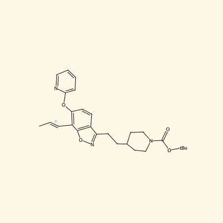 C/C=C/c1c(Oc2ccccn2)ccc2c(CCC3CCN(C(=O)OC(C)(C)C)CC3)noc12